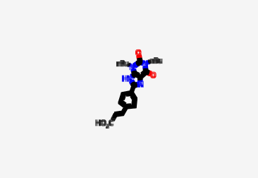 CCCCn1c(=O)c2nc(-c3ccc(C=CC(=O)O)cc3)[nH]c2n(CCCC)c1=O